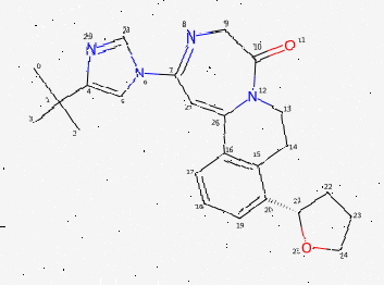 CC(C)(C)c1cn(C2=NCC(=O)N3CCc4c(cccc4[C@@H]4CCCO4)C3=C2)cn1